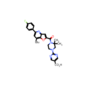 CC(C)(C)c1cc(-c2ccc(F)cc2)nc2cc(C(=O)N3CCN(c4ncc(C(=O)O)cn4)CC3(C)C)oc12